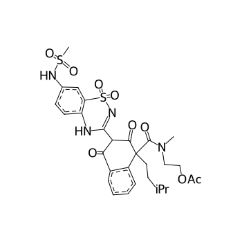 CC(=O)OCCN(C)C(=O)C1(CCC(C)C)C(=O)C(C2=NS(=O)(=O)c3cc(NS(C)(=O)=O)ccc3N2)C(=O)c2ccccc21